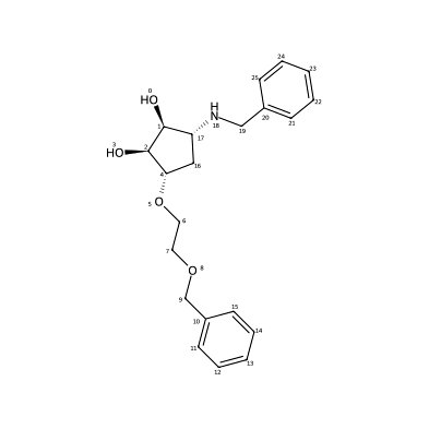 O[C@@H]1[C@H](O)[C@@H](OCCOCc2ccccc2)C[C@H]1NCc1ccccc1